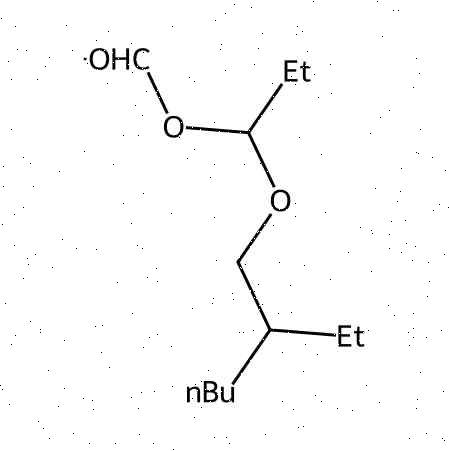 CCCCC(CC)COC(CC)O[C]=O